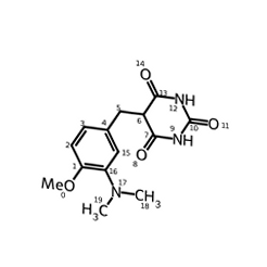 COc1ccc(CC2C(=O)NC(=O)NC2=O)cc1N(C)C